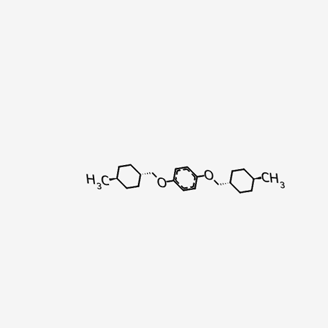 C[C@H]1CC[C@H](COc2ccc(OC[C@H]3CC[C@H](C)CC3)cc2)CC1